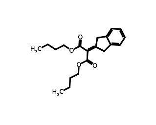 CCCCOC(=O)C(C(=O)OCCCC)=C1Cc2ccccc2C1